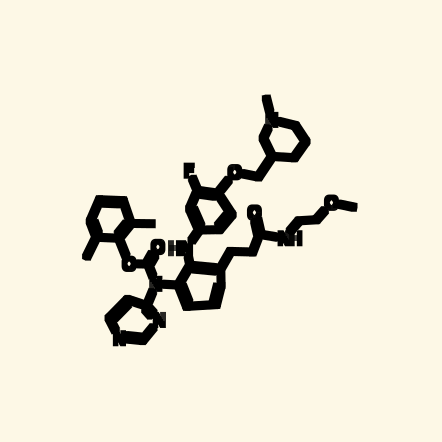 COCCNC(=O)CCc1cccc(N(C(=O)Oc2c(C)cccc2C)c2ccncn2)c1Nc1ccc(OCC2CCCN(C)C2)c(F)c1